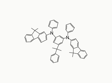 CC(C)(c1ccccc1)c1cc(N(c2ccccc2)c2ccc3c(c2)C(C)(C)c2ccccc2-3)cc(N(c2ccccc2)c2ccc3c(c2)C(C)(C)c2ccccc2-3)c1